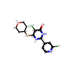 O=c1[nH]c(-c2ccnc(F)c2)nc(SC2CCOCC2)c1Cl